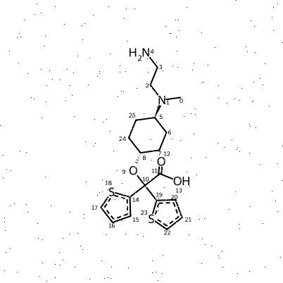 CN(CCN)[C@H]1CC[C@H](OC(C(=O)O)(c2cccs2)c2cccs2)CC1